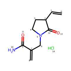 C=CC1CCN(CC(=C)C(N)=O)C1=O.Cl